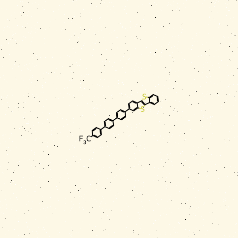 FC(F)(F)c1ccc(-c2ccc(-c3ccc(-c4ccc5c(c4)sc4c6ccccc6sc54)cc3)cc2)cc1